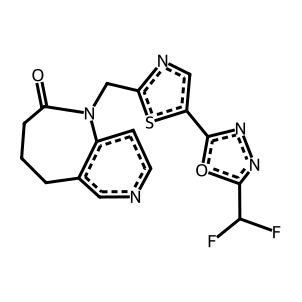 O=C1CCCc2cnccc2N1Cc1ncc(-c2nnc(C(F)F)o2)s1